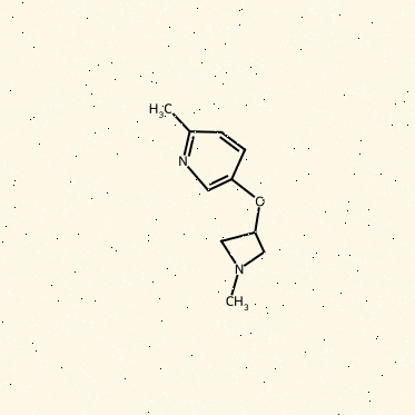 Cc1ccc(OC2CN(C)C2)cn1